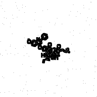 C=C[C@@H]1C[C@]1(NC(=O)[C@@H]1C[C@@H](Oc2cc(-c3ccccc3)nc3cc(OC)ccc23)CN1C(=O)[C@H](CNC(=O)/C=C/CN(C)C)NC(=O)OC(C)(C)C)C(=O)O